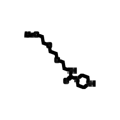 COCCOCCOCCNC(=O)N1CCNCC1